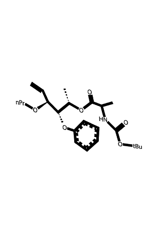 C=C[C@H](OCCC)[C@@H](Oc1ccccc1)[C@H](C)OC(=O)C(C)NC(=O)OC(C)(C)C